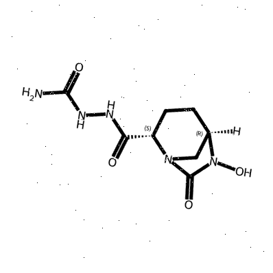 NC(=O)NNC(=O)[C@@H]1CC[C@@H]2CN1C(=O)N2O